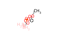 BB(B)CC1COP(=O)(Oc2ccccc2C(=O)OCCCC)CO1